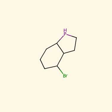 BrC1CCCC2PCCC12